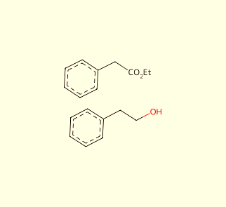 CCOC(=O)Cc1ccccc1.OCCc1ccccc1